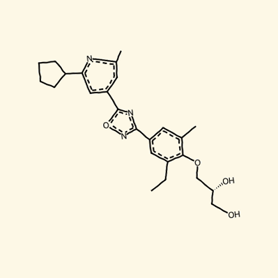 CCc1cc(-c2noc(-c3cc(C)nc(C4CCCC4)c3)n2)cc(C)c1OC[C@H](O)CO